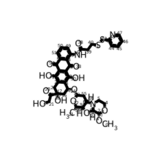 CO[C@H]1OCCN2[C@@H]1O[C@@H]1[C@H](C)O[C@@H](O[C@H]3C[C@](O)(C(=O)CO)Cc4c(O)c5c(c(O)c43)C(=O)c3c(NC(=O)CCSSc4ccccn4)cccc3C5=O)C[C@@H]12